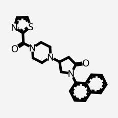 O=C(c1nccs1)N1CCN(C2CC(=O)N(c3cccc4ccccc34)C2)CC1